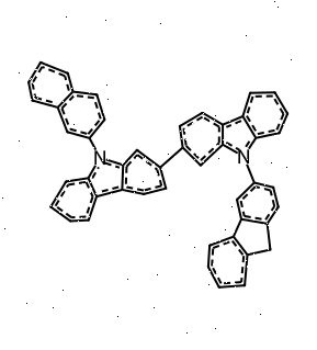 c1ccc2c(c1)Cc1ccc(-n3c4ccccc4c4ccc(-c5ccc6c7ccccc7n(-c7ccc8ccccc8c7)c6c5)cc43)cc1-2